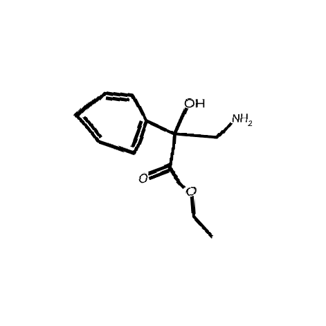 CCOC(=O)C(O)(CN)c1ccccc1